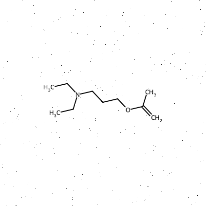 C=C(C)OCCCN(CC)CC